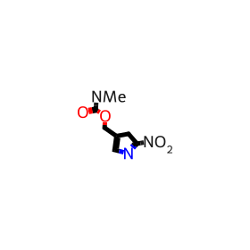 CNC(=O)OCC1=CN=C([N+](=O)[O-])C1